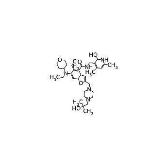 CCC1=C(C(=O)NCC2=C(C)C=C(C)NC2O)C2C=C(CN3CCN(CC(C)(C)O)CC3)OC2C=C1N(CC)C1CCOCC1